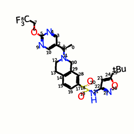 C[C@H](c1cnc(OCC(F)(F)F)nc1)N1CCc2ccc(S(=O)(=O)Nc3cc(C(C)(C)C)on3)cc2C1